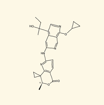 CCC(C)(O)c1cnc(OC2CC2)c2cnc(Nc3ccc4c(n3)C3(CC3)[C@H](C)OC4=O)cc12